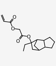 C=CC(=O)OCC(=O)OC1(CC)CC2CC1C1CCCC21